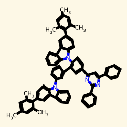 Cc1cc(C)c(-c2ccc3c(c2)c2ccccc2n3-c2cccc(-c3cc(-c4cc(-c5ccccc5)nc(-c5ccccc5)n4)ccc3-n3c4ccccc4c4cc(-c5c(C)cc(C)cc5C)ccc43)c2)c(C)c1